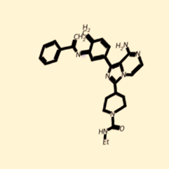 C=C1C=CC(c2nc(C3CCN(C(=O)NCC)CC3)n3ccnc(N)c23)=C/C1=N/C(=C)c1ccccc1